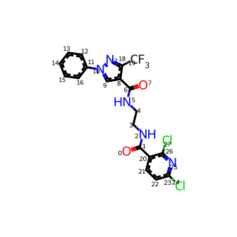 O=C(NCCNC(=O)c1cn(-c2ccccc2)nc1C(F)(F)F)c1ccc(Cl)nc1Cl